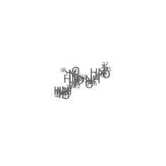 CCCCNC(=O)[C@@H](CCCCNC(=O)[C@@H](C)CCCCNC(=O)[C@H](C)CC)NC(=O)[C@@H](C)CCCCNC(=O)[C@@H](CC)NC